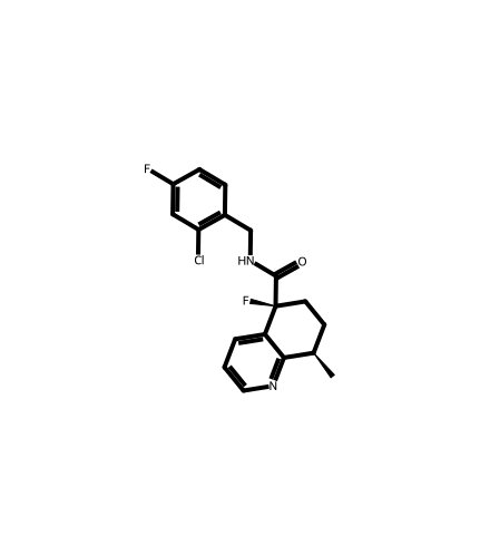 C[C@@H]1CC[C@@](F)(C(=O)NCc2ccc(F)cc2Cl)c2cccnc21